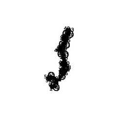 C=C(C)C(=O)OCC(CCOc1ccc2c(c1)CCc1cc(/C=C/C(=O)Oc3ccc(OC(=O)c4ccc(OC(=O)C(=C)C)cc4)cc3C)ccc1-2)COC(=O)C(=C)C